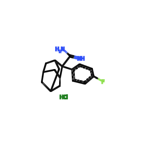 Cl.N=C(N)C1(c2ccc(F)cc2)C2CC3CC(C2)CC1C3